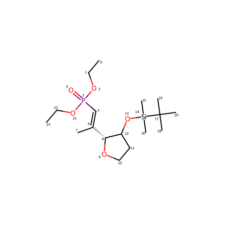 CCOP(=O)(/C=C(\C)[C@H]1OCCC1O[Si](C)(C)C(C)(C)C)OCC